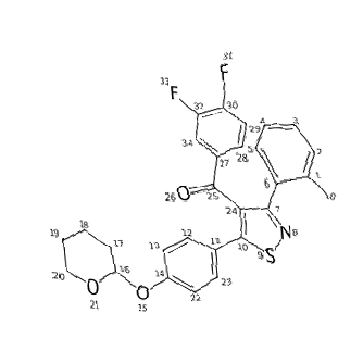 Cc1ccccc1-c1nsc(-c2ccc(OC3CCCCO3)cc2)c1C(=O)c1ccc(F)c(F)c1